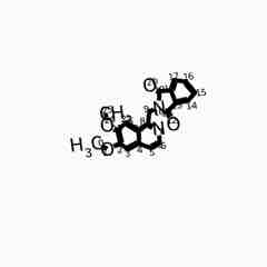 COc1cc2c[c]nc(CN3C(=O)c4ccccc4C3=O)c2cc1OC